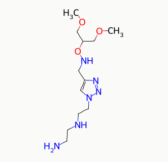 COCC(COC)ONCc1cn(CCNCCN)nn1